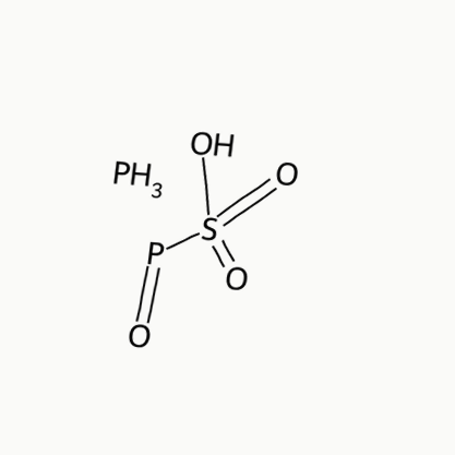 O=PS(=O)(=O)O.P